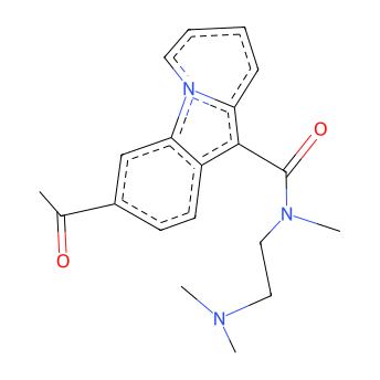 CC(=O)c1ccc2c(C(=O)N(C)CCN(C)C)c3ccccn3c2c1